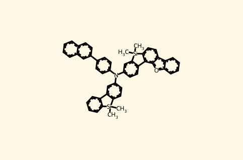 C[Si]1(C)c2ccccc2-c2cc(N(c3ccc(-c4ccc5ccccc5c4)cc3)c3ccc4c(c3)[Si](C)(C)c3ccc5c(oc6ccccc65)c3-4)ccc21